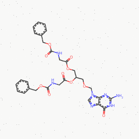 Nc1nc2c(ncn2COCC(COC(=O)CNC(=O)OCc2ccccc2)OC(=O)CNC(=O)OCc2ccccc2)c(=O)[nH]1